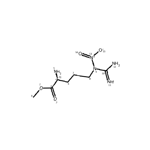 COC(=O)[C@@H](N)CCCN(C(=N)N)[N+](=O)[O-]